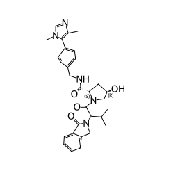 Cc1ncn(C)c1-c1ccc(CNC(=O)[C@@H]2C[C@@H](O)CN2C(=O)C(C(C)C)N2Cc3ccccc3C2=O)cc1